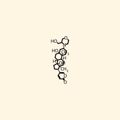 C[C@]12CC[C@H](N3CCOCC3CO)C[C@@]1(O)CC[C@@H]1[C@@H]2CC[C@]2(C)[C@@H](c3ccc(=O)oc3)CC[C@]12O